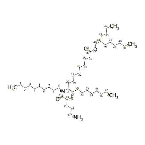 CCCCCCCCCCN(C(=O)C(F)CCCN)C(CCCCCCCCC)CCCCCCCCC(=O)OCC(CCCC)CCCCCC